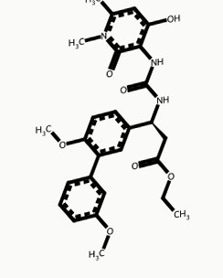 CCOC(=O)C[C@H](NC(=O)Nc1c(O)cc(C)n(C)c1=O)c1ccc(OC)c(-c2cccc(OC)c2)c1